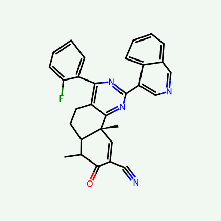 CC1C(=O)C(C#N)=C[C@@]2(C)c3nc(-c4cncc5ccccc45)nc(-c4ccccc4F)c3CCC12